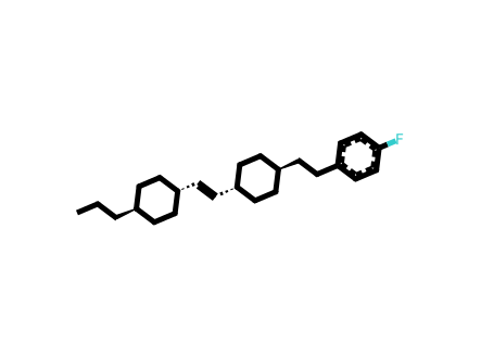 CCC[C@H]1CC[C@H](/C=C/[C@H]2CC[C@H](CCc3ccc(F)cc3)CC2)CC1